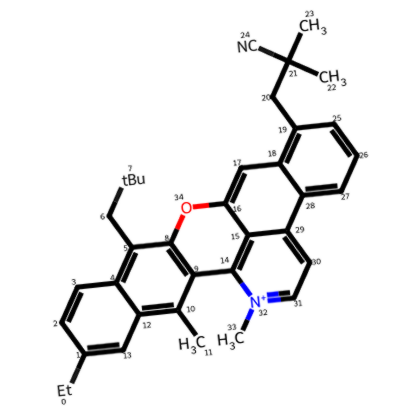 CCc1ccc2c(CC(C)(C)C)c3c(c(C)c2c1)-c1c2c(cc4c(CC(C)(C)C#N)cccc4c2cc[n+]1C)O3